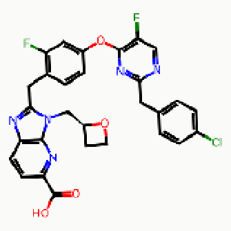 O=C(O)c1ccc2nc(Cc3ccc(Oc4nc(Cc5ccc(Cl)cc5)ncc4F)cc3F)n(C[C@@H]3CCO3)c2n1